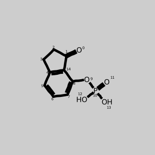 O=C1CCc2cccc(OP(=O)(O)O)c21